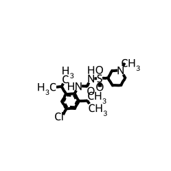 CC(C)c1cc(Cl)cc(C(C)C)c1NC(=O)NS(=O)(=O)C1CCCN(C)C1